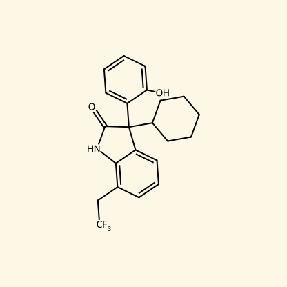 O=C1Nc2c(CC(F)(F)F)cccc2C1(c1ccccc1O)C1CCCCC1